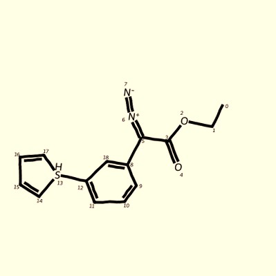 CCOC(=O)C(=[N+]=[N-])c1cccc([SH]2C=CC=C2)c1